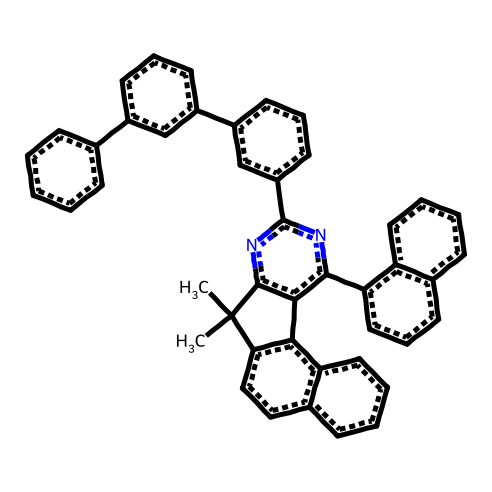 CC1(C)c2ccc3ccccc3c2-c2c(-c3cccc4ccccc34)nc(-c3cccc(-c4cccc(-c5ccccc5)c4)c3)nc21